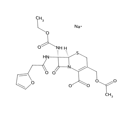 CCOC(=O)N[C@@]1(NC(=O)Cc2ccco2)C(=O)N2C(C(=O)[O-])=C(COC(C)=O)CS[C@@H]21.[Na+]